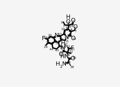 CC[C@@]1(O)C(=O)OCc2c1cc1n(c2=O)Cc2c-1nc1cc(F)c(C)c3c1c2[C@@H](NC(=O)C(C)(NC(=O)[C@@H](C)N)C(F)F)CC3